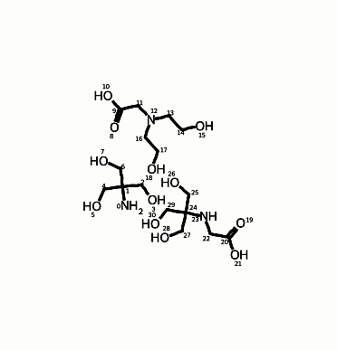 NC(CO)(CO)CO.O=C(O)CN(CCO)CCO.O=C(O)CNC(CO)(CO)CO